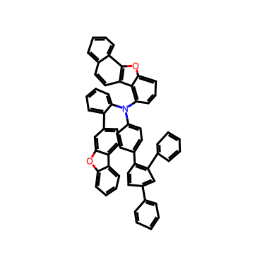 c1ccc(-c2ccc(-c3ccc(N(c4ccccc4-c4ccc5c(c4)oc4ccccc45)c4cccc5oc6c7ccccc7ccc6c45)cc3)c(-c3ccccc3)c2)cc1